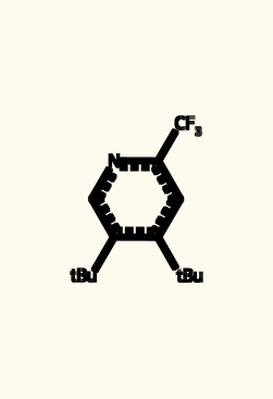 CC(C)(C)c1cnc(C(F)(F)F)cc1C(C)(C)C